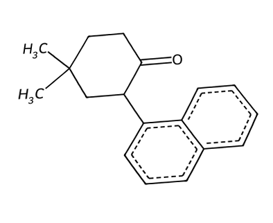 CC1(C)CCC(=O)C(c2cccc3ccccc23)C1